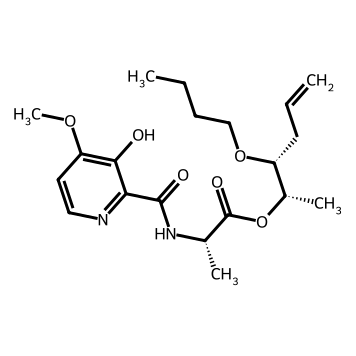 C=CC[C@@H](OCCCC)[C@H](C)OC(=O)[C@H](C)NC(=O)c1nccc(OC)c1O